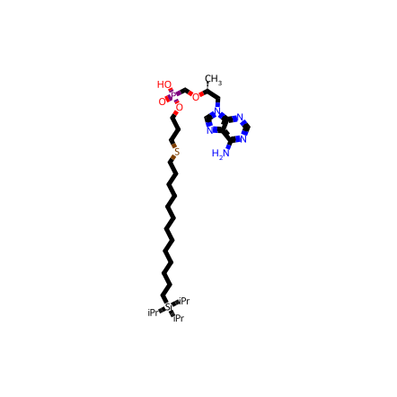 CC(C)[Si](CCCCCCCCCCCCCSCCCOP(=O)(O)CO[C@H](C)Cn1cnc2c(N)ncnc21)(C(C)C)C(C)C